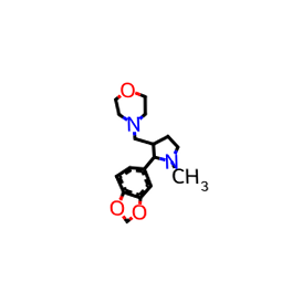 CN1CCC(CN2CCOCC2)C1c1ccc2c(c1)OCO2